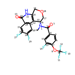 CN(C(=O)c1ccc(OC(F)(F)F)c(F)c1)[C@@H]1COCc2[nH]c(=O)c3cc(F)c(F)cc3c21